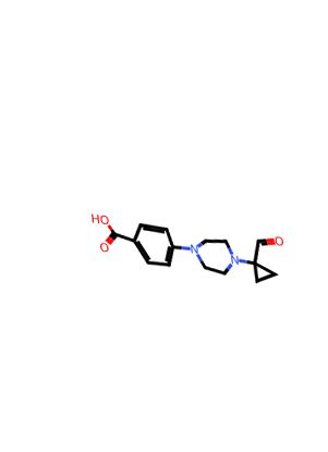 O=CC1(N2CCN(c3ccc(C(=O)O)cc3)CC2)CC1